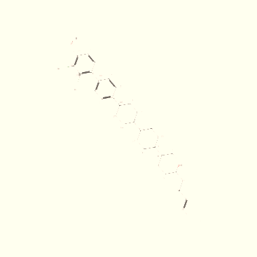 C/C=C/CCC1CCC(C2CCC(C3CCC(c4ccc(-c5ccc(OCCC)c(F)c5F)cc4)CC3)CC2)CO1